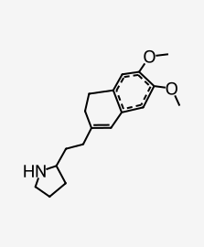 COc1cc2c(cc1OC)CCC(CCC1CCCN1)=C2